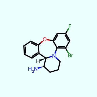 N[C@@H]1CCCN2c3c(Br)cc(F)cc3Oc3ccccc3[C@@H]12